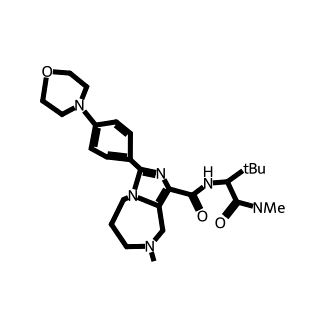 CNC(=O)C(NC(=O)c1nc(-c2ccc(N3CCOCC3)cc2)n2c1CN(C)CCC2)C(C)(C)C